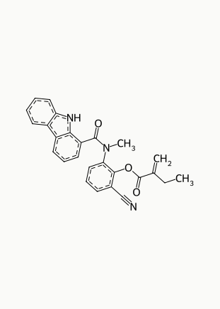 C=C(CC)C(=O)Oc1c(C#N)cccc1N(C)C(=O)c1cccc2c1[nH]c1ccccc12